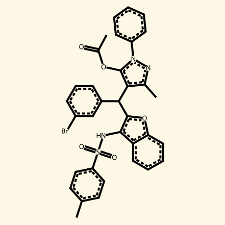 CC(=O)Oc1c(C(c2cccc(Br)c2)c2oc3ccccc3c2NS(=O)(=O)c2ccc(C)cc2)c(C)nn1-c1ccccc1